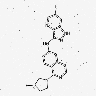 Fc1cnc2c(Nc3ccc4c(N5CC[C@@H](F)C5)nccc4c3)n[nH]c2c1